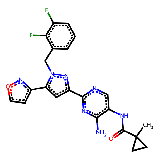 CC1(C(=O)Nc2cnc(-c3cc(-c4ccon4)n(Cc4cccc(F)c4F)n3)nc2N)CC1